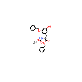 CC(C)(C)OC(=O)N[C@@H](Cc1cc(O)cc(OCc2ccccc2)c1)C(=O)OCc1ccccc1